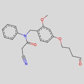 COc1cc(OCCC[C]=O)ccc1CN(C(=O)CC#N)c1ccccc1